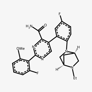 CCN1C[C@H]2C[C@@H]1CN2c1ccc(F)cc1-c1cnc(-c2c(F)cccc2OC)nc1C(N)=O